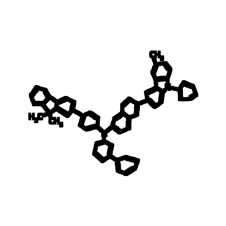 Cc1ccc2c(c1)c1cc(-c3ccc4cc(N(c5ccc(-c6ccc7c(c6)C(C)(C)c6ccccc6-7)cc5)c5cccc(-c6ccccc6)c5)ccc4c3)ccc1n2-c1ccccc1